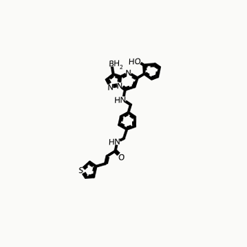 Bc1cnn2c(NCc3ccc(CNC(=O)/C=C/c4ccsc4)cc3)cc(-c3ccccc3O)nc12